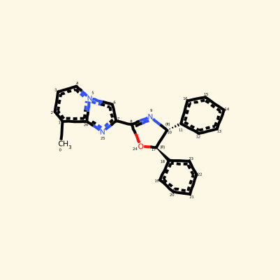 Cc1cccn2cc(C3=N[C@H](c4ccccc4)[C@@H](c4ccccc4)O3)nc12